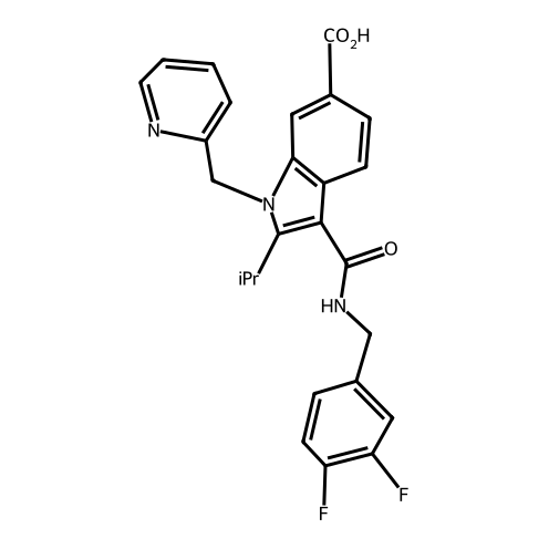 CC(C)c1c(C(=O)NCc2ccc(F)c(F)c2)c2ccc(C(=O)O)cc2n1Cc1ccccn1